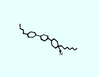 CCCCCCCC1(C#N)CCC(C2CCC(C3CCC(CCCC)CC3)CC2)CC1